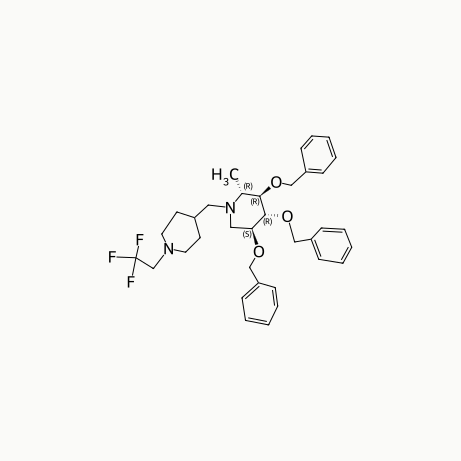 C[C@@H]1[C@@H](OCc2ccccc2)[C@H](OCc2ccccc2)[C@@H](OCc2ccccc2)CN1CC1CCN(CC(F)(F)F)CC1